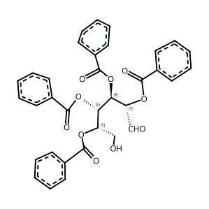 O=C[C@@H](OC(=O)c1ccccc1)[C@H](OC(=O)c1ccccc1)[C@@H](OC(=O)c1ccccc1)[C@H](CO)OC(=O)c1ccccc1